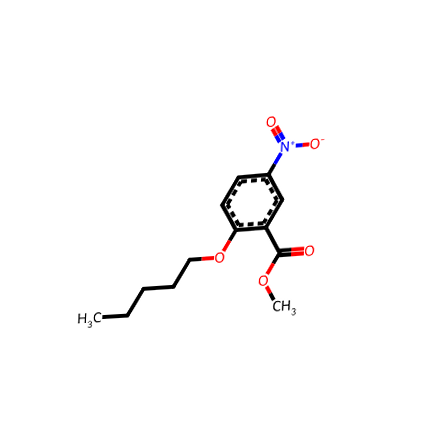 CCCCCOc1ccc([N+](=O)[O-])cc1C(=O)OC